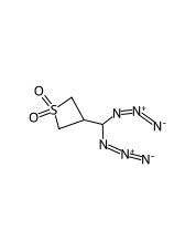 [N-]=[N+]=NC(N=[N+]=[N-])C1CS(=O)(=O)C1